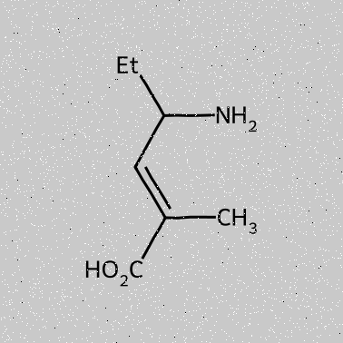 [CH2]CC(N)C=C(C)C(=O)O